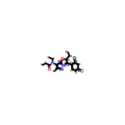 CCC(=O)N(CC)c1c(C)nn2c(-c3ccc(Cl)cc3Cl)c(CC)oc12